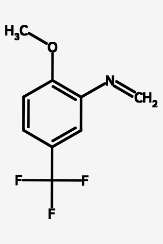 C=Nc1cc(C(F)(F)F)ccc1OC